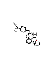 CC/C=C(/NC(=O)Cc1ccc(C(=O)OCC)cc1)c1ccccc1N1CCCCC1